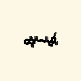 O=c1cc(NCCCNC2CCc3c(Cl)cc(Cl)cc32)[nH]c2ccccc12